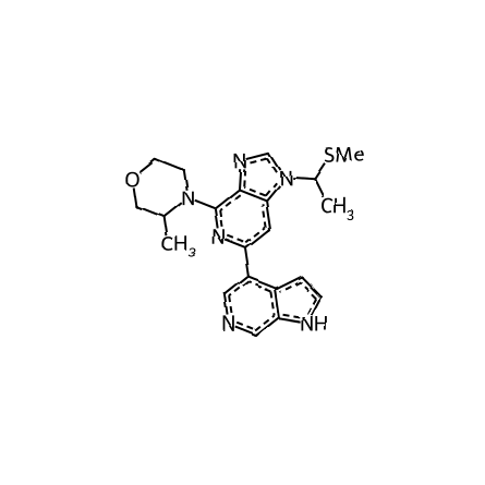 CSC(C)n1cnc2c(N3CCOCC3C)nc(-c3cncc4[nH]ccc34)cc21